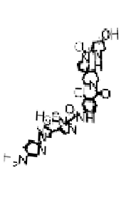 Cn1c(-c2cn(-c3ccc(N)cn3)nc2C(F)(F)F)cnc1C(=O)Nc1ccc(C(=O)N2CCC3(CC2)CCN(C(=O)[C@@H]2C[C@@H](O)CN2)C3)c(Cl)c1